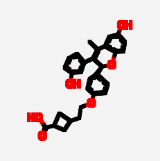 CC1=C(c2cccc(O)c2)[C@H](c2ccc(OCCC3CC(C(=O)O)C3)cc2)Oc2ccc(O)cc21